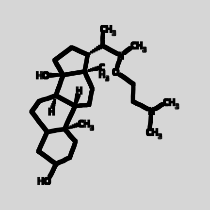 CC([C@H]1CC[C@@]2(O)[C@@H]3CCC4CC(O)CC[C@]4(C)[C@H]3CC[C@]12C)N(C)OCCN(C)C